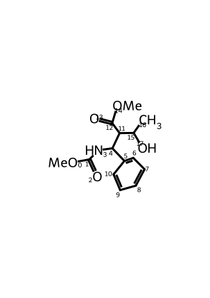 COC(=O)NC(c1ccccc1)C(C(=O)OC)C(C)O